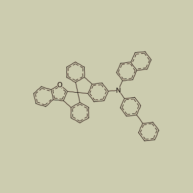 c1ccc(-c2ccc(N(c3ccc4c(c3)-c3ccccc3C43c4ccccc4-c4c3oc3ccccc43)c3ccc4ccccc4c3)cc2)cc1